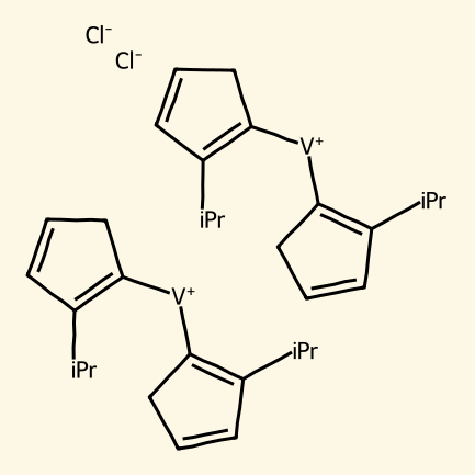 CC(C)C1=[C]([V+][C]2=C(C(C)C)C=CC2)CC=C1.CC(C)C1=[C]([V+][C]2=C(C(C)C)C=CC2)CC=C1.[Cl-].[Cl-]